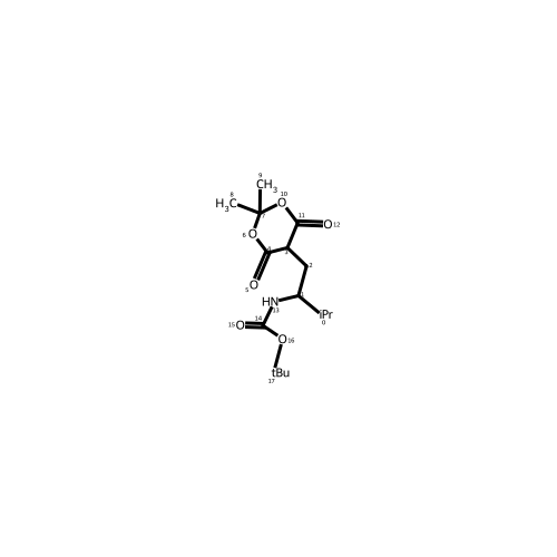 CC(C)C(CC1C(=O)OC(C)(C)OC1=O)NC(=O)OC(C)(C)C